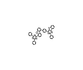 c1ccc(-c2nc(-c3ccccc3)nc(-c3cccc4c3oc3cccc(-c5ccc(-c6nc(-c7ccccc7)nc7c6sc6ccccc67)cc5)c34)n2)cc1